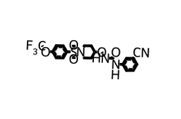 N#Cc1cccc(NC(=O)NOC2CCN(S(=O)(=O)c3ccc(OC(F)(F)F)cc3)CC2)c1